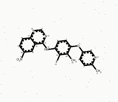 Cc1ccc(Oc2ccc(Nc3ncnc4ccc([N+](=O)[O-])cc34)c(F)c2C)cn1